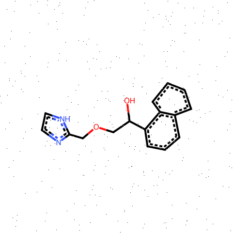 OC(COCc1ncc[nH]1)c1cccc2ccccc12